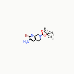 CC(C)(C)OC(=O)N1CCc2cc(N)c(Br)nc2C1